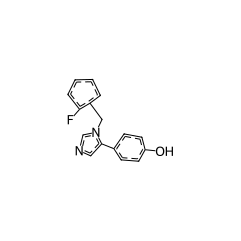 Oc1ccc(-c2cncn2Cc2ccccc2F)cc1